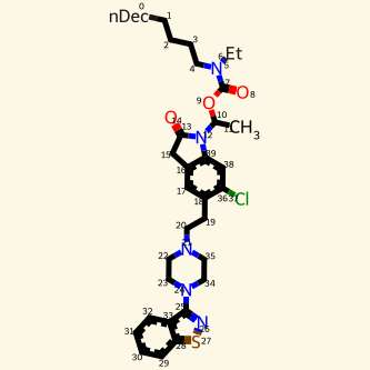 CCCCCCCCCCCCCCN(CC)C(=O)OC(C)N1C(=O)Cc2cc(CCN3CCN(c4nsc5ccccc45)CC3)c(Cl)cc21